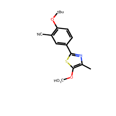 Cc1nc(-c2ccc(OC(C)(C)C)c(C#N)c2)sc1OC(=O)O